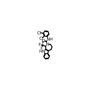 O=C(Nc1cccc(Cl)c1Cl)N1CCCc2c([nH]c3ccccc23)C1C(F)(F)F